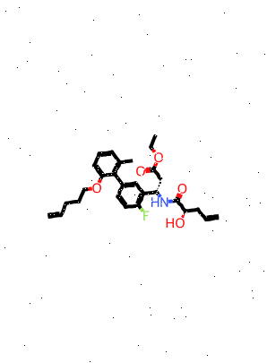 C=CCCCOc1cccc(C)c1-c1ccc(F)c([C@H](CC(=O)OCC)NC(=O)[C@H](O)CC=C)c1